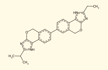 CCc1nc2c([nH]1)-c1ccc(-c3ccc4c(c3)COc3nc(C(C)C)[nH]c3-4)cc1CO2